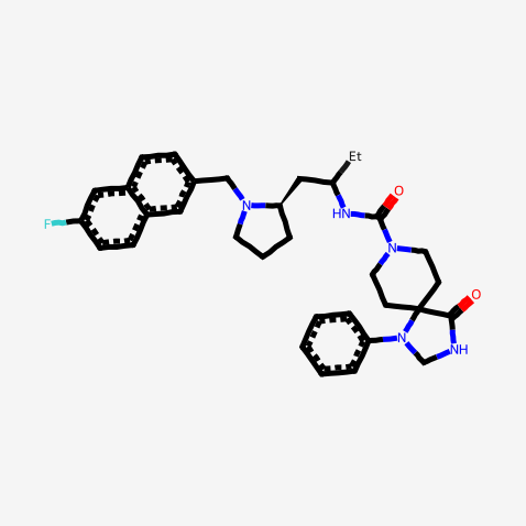 CCC(C[C@H]1CCCN1Cc1ccc2cc(F)ccc2c1)NC(=O)N1CCC2(CC1)C(=O)NCN2c1ccccc1